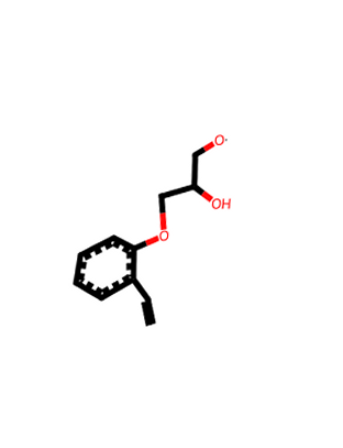 C=Cc1ccccc1OCC(O)C[O]